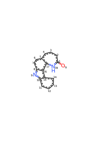 O=c1cccc2ccc3nc4ccccc4c3c2[nH]1